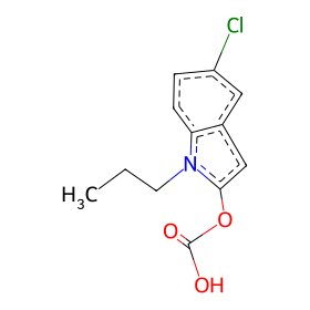 CCCn1c(OC(=O)O)cc2cc(Cl)ccc21